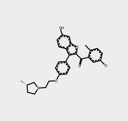 Cc1ccc(Cl)cc1C(=O)c1sc2cc(O)ccc2c1-c1ccc(OCCN2CC[C@H](C)C2)cc1